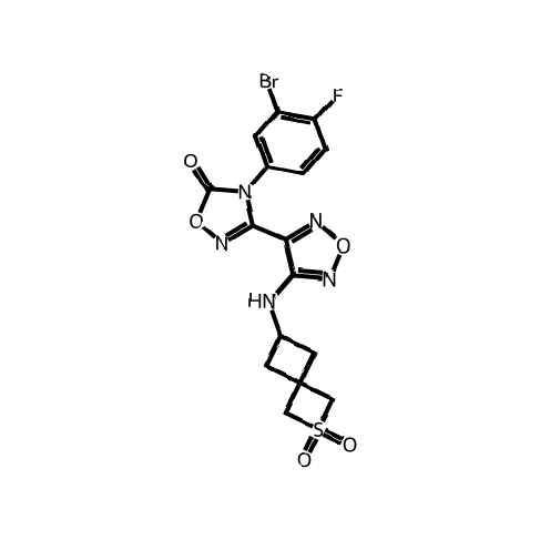 O=c1onc(-c2nonc2NC2CC3(C2)CS(=O)(=O)C3)n1-c1ccc(F)c(Br)c1